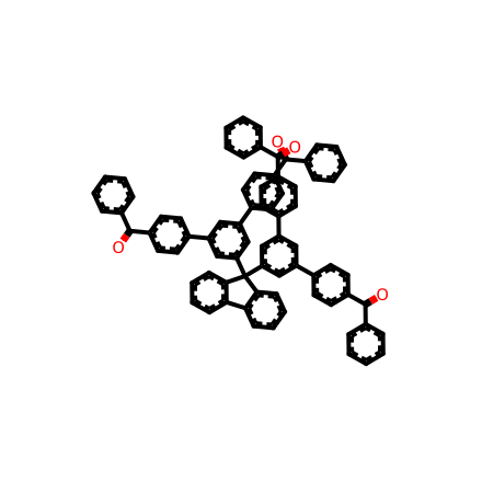 O=C(c1ccccc1)c1ccc(-c2cc(-c3ccc(C(=O)c4ccccc4)cc3)cc(C3(c4cc(-c5ccc(C(=O)c6ccccc6)cc5)cc(-c5ccc(C(=O)c6ccccc6)cc5)c4)c4ccccc4-c4ccccc43)c2)cc1